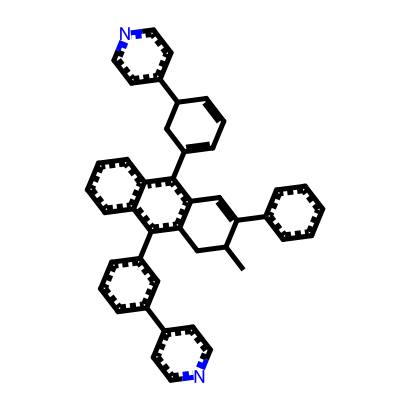 CC1Cc2c(c(C3=CC=CC(c4ccncc4)C3)c3ccccc3c2-c2cccc(-c3ccncc3)c2)C=C1c1ccccc1